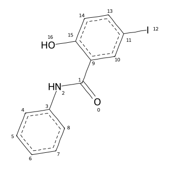 O=C(Nc1ccccc1)c1cc(I)ccc1O